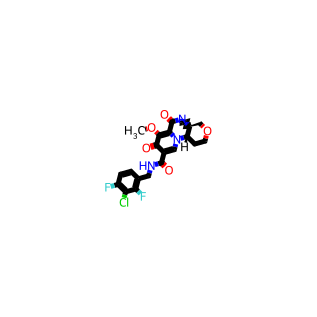 COc1c2n(cc(C(=O)NCc3ccc(F)c(Cl)c3F)c1=O)[C@H]1CCOC[C@]13C=CCN3C2=O